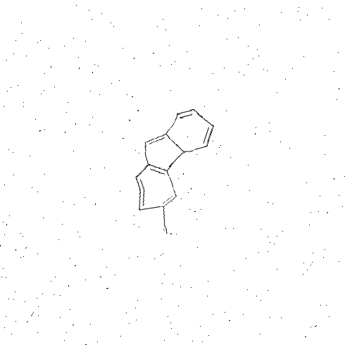 [CH2]c1ccc2c(c1)C1C=CC=CC1=C2